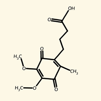 COC1=C(OC)C(=O)C(CCCC(=O)O)=C(C)C1=O